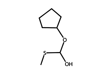 CSC(O)OC1CCCC1